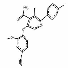 COc1cc(C#N)ccc1Oc1nnc(-c2ccc(C)cc2)c(C)c1C(N)=O